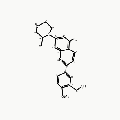 COc1ccc(-c2ccc3c(Cl)cc(N4CCOCC4C)nc3n2)cc1CO